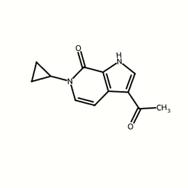 CC(=O)c1c[nH]c2c(=O)n(C3CC3)ccc12